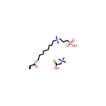 C=CC(=O)OCCCCCCCC[N+](C)(C)CCCS(=O)(=O)O.C[N+](C)(C)CC(=O)O